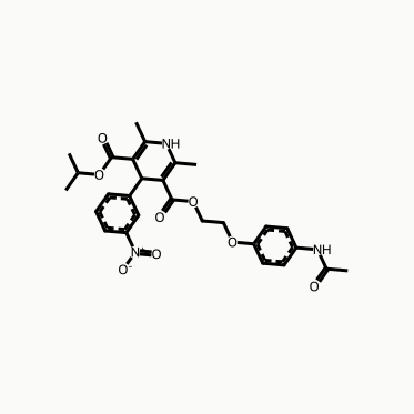 CC(=O)Nc1ccc(OCCOC(=O)C2=C(C)NC(C)=C(C(=O)OC(C)C)C2c2cccc([N+](=O)[O-])c2)cc1